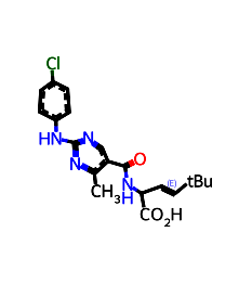 Cc1nc(Nc2ccc(Cl)cc2)ncc1C(=O)NC(/C=C/C(C)(C)C)C(=O)O